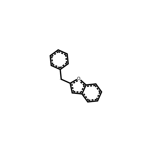 [CH](c1ccccc1)c1cc2ccccc2o1